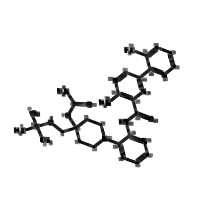 CC(C)(C)[Si](C)(C)OCC1(OC(N)=O)CCN(c2cccnc2NC(=O)c2nc(-c3ncccc3C(F)(F)F)cnc2N)CC1